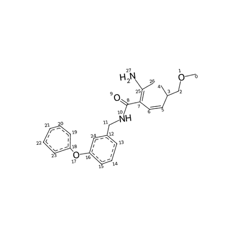 COCC(C)/C=C\C(C(=O)NCc1cccc(Oc2ccccc2)c1)=C(/C)N